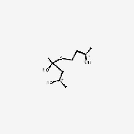 C[C@@H](O)CCOC(C)(O)C[C@@H](C)O